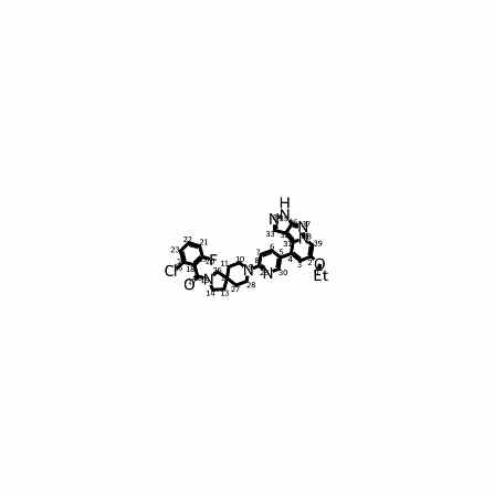 CCOc1cc(-c2ccc(N3CCC4(CCN(C(=O)c5c(F)cccc5Cl)C4)CC3)nc2)c2c3cn[nH]c3nn2c1